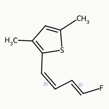 Cc1cc(C)c(/C=C\C=C\F)s1